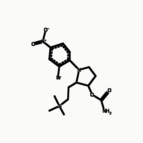 C[Si](C)(C)CCC1C(OC(N)=O)CCN1c1ccc([N+](=O)[O-])cc1Br